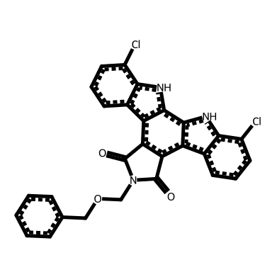 O=C1c2c(c3c4cccc(Cl)c4[nH]c3c3[nH]c4c(Cl)cccc4c23)C(=O)N1COCc1ccccc1